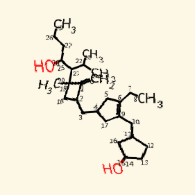 C=C1C(CC2CC(CC)=C(CC3CCC(O)C3)C2)CC1(C)C(C(C)C)C(O)CCC